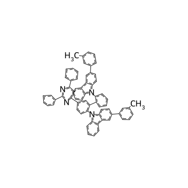 Cc1cccc(-c2ccc3c(c2)c2ccccc2n3-c2ccccc2-c2cc(-c3cc(-c4ccccc4)nc(-c4ccccc4)n3)ccc2-n2c3ccccc3c3cc(-c4cccc(C)c4)ccc32)c1